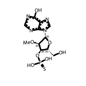 CO[C@@H]1[C@H](OP(O)(O)=S)[C@@H](CO)O[C@H]1n1cnc2c(O)ncnc21